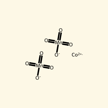 [Co+2].[O]=[Mn](=[O])(=[O])[O-].[O]=[Mn](=[O])(=[O])[O-]